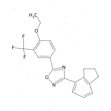 CCOc1ccc(-c2nc(-c3cccc4c3CCC4)no2)cc1C(F)(F)F